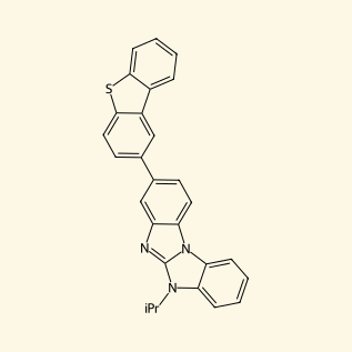 CC(C)n1c2ccccc2n2c3ccc(-c4ccc5sc6ccccc6c5c4)cc3nc12